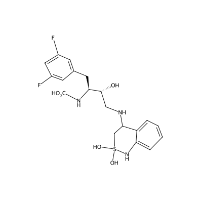 O=C(O)N[C@@H](Cc1cc(F)cc(F)c1)[C@H](O)CNC1CS(O)(O)Nc2ccccc21